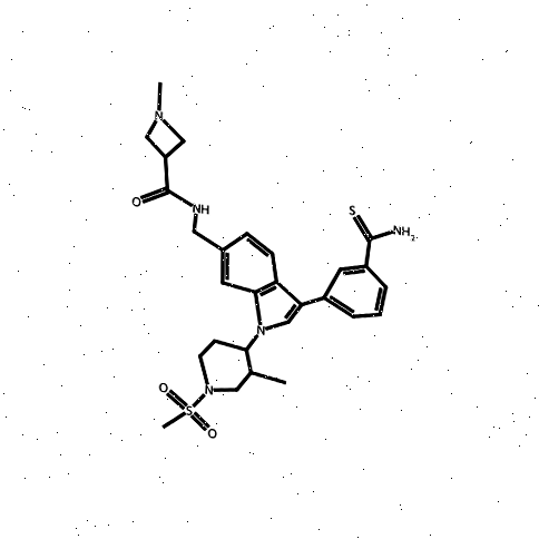 CC1CN(S(C)(=O)=O)CCC1n1cc(-c2cccc(C(N)=S)c2)c2ccc(CNC(=O)C3CN(C)C3)cc21